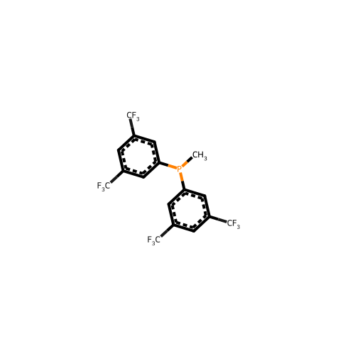 CP(c1cc(C(F)(F)F)cc(C(F)(F)F)c1)c1cc(C(F)(F)F)cc(C(F)(F)F)c1